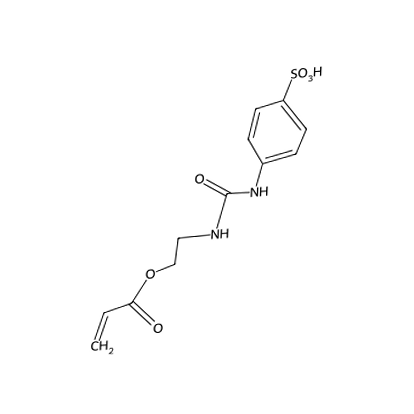 C=CC(=O)OCCNC(=O)Nc1ccc(S(=O)(=O)O)cc1